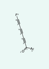 CC(=O)C(=O)C#CC#CC#CF